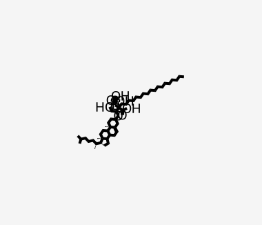 CCCCCCCCCCCCCCCCCCC(OP(=O)(O)O)(C(=O)O)C(CO)OC1CC[C@@]2(C)C(=CCC3C2CC[C@@]2(C)C3CC[C@@H]2[C@H](C)CCCC(C)C)C1